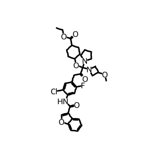 CCOC(=O)C1CCC(OC(C(=O)Cc2cc(Cl)c(NC(=O)c3coc4ccccc34)cc2F)(N2CCCC2)N2CC(OC)C2)CC1